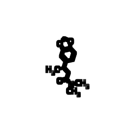 C[C@H](CC(=O)N(C)C)c1ccc2c(c1)OCO2